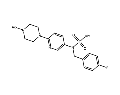 CCCS(=O)(=O)N(Cc1ccc(F)cc1)c1ccc(N2CCN(C(C)=O)CC2)nc1